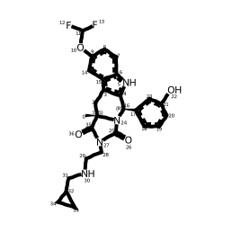 C[C@@]12Cc3c([nH]c4ccc(OC(F)F)cc34)[C@@H](c3cccc(O)c3)N1C(=O)N(CCNCC1CC1)C2=O